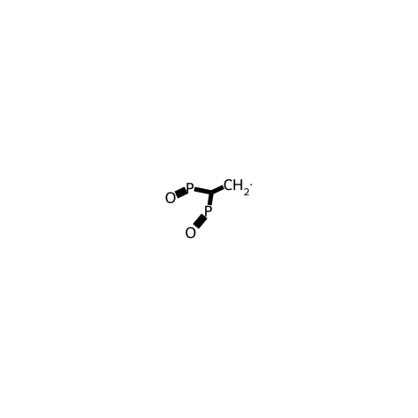 [CH2]C(P=O)P=O